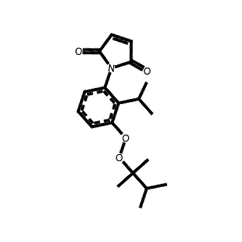 CC(C)c1c(OOC(C)(C)C(C)C)cccc1N1C(=O)C=CC1=O